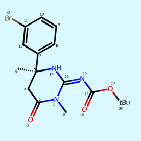 CN1C(=O)C[C@@](C)(c2cccc(Br)c2)NC1=NC(=O)OC(C)(C)C